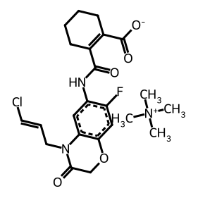 C[N+](C)(C)C.O=C([O-])C1=C(C(=O)Nc2cc3c(cc2F)OCC(=O)N3CC=CCl)CCCC1